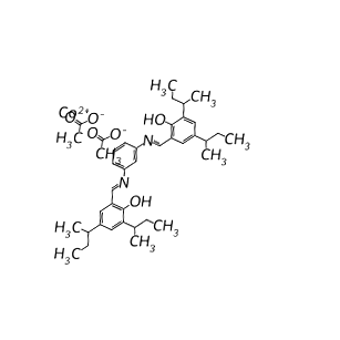 CC(=O)[O-].CC(=O)[O-].CCC(C)c1cc(C=Nc2cccc(N=Cc3cc(C(C)CC)cc(C(C)CC)c3O)c2)c(O)c(C(C)CC)c1.[Co+2]